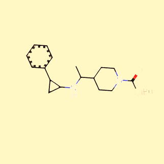 CC(C)COC(=O)N1CCC(C(C)NC2CC2c2ccccc2)CC1